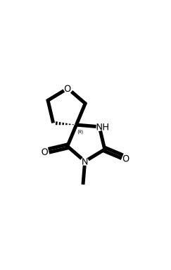 CN1C(=O)N[C@@]2(CCOC2)C1=O